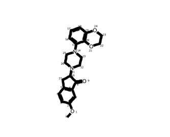 COc1ccc2c(c1)C(=O)C(N1CCN(c3cccc4c3OCCO4)CC1)C2